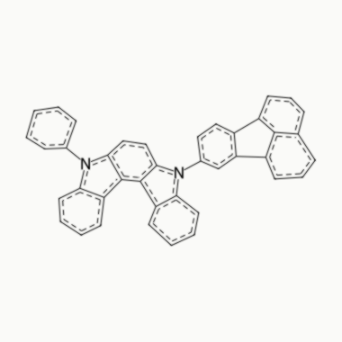 c1ccc(-n2c3ccccc3c3c4c5ccccc5n(-c5ccc6c(c5)-c5cccc7cccc-6c57)c4ccc32)cc1